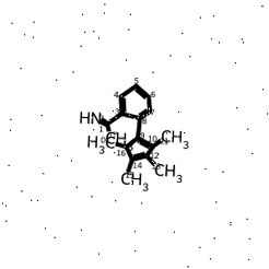 CC(=N)c1ccccc1C1=C(C)C(C)=C(C)C1C